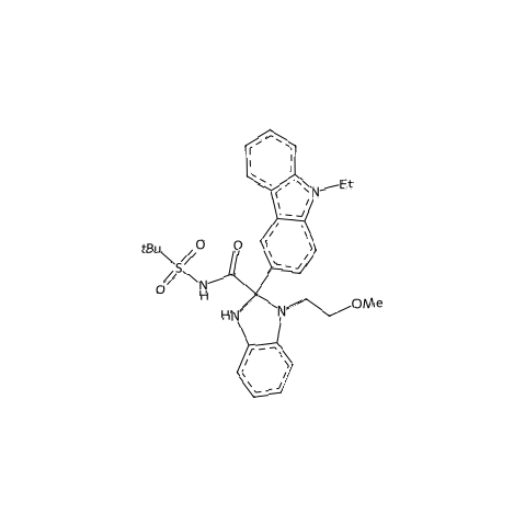 CCn1c2ccccc2c2cc(C3(C(=O)NS(=O)(=O)C(C)(C)C)Nc4ccccc4N3CCOC)ccc21